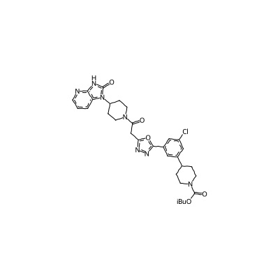 CC(C)COC(=O)N1CCC(c2cc(Cl)cc(-c3nnc(CC(=O)N4CCC(n5c(=O)[nH]c6ncccc65)CC4)o3)c2)CC1